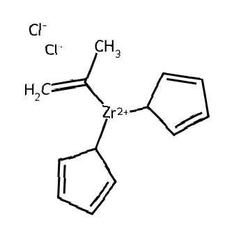 C=[C](C)[Zr+2]([CH]1C=CC=C1)[CH]1C=CC=C1.[Cl-].[Cl-]